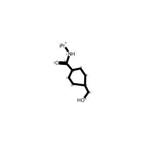 CC(C)NC(=O)C1CCC(CO)CC1